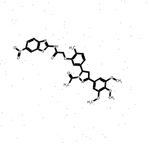 COc1cc(C2=NN(C(C)=O)C(c3ccc(C)c(OCC(=O)Nc4nc5ccc([N+](=O)[O-])cc5s4)c3)C2)cc(OC)c1OC